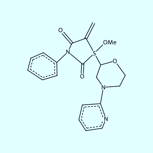 C=C1C(=O)N(c2ccccc2)C(=O)S1(OC)C1CN(c2ccccn2)CCO1